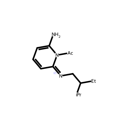 CCC(C/N=c1/cccc(N)n1C(C)=O)C(C)C